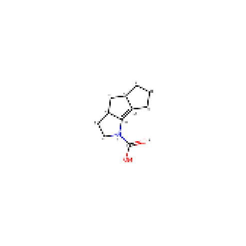 O=C(O)N1CCC2CC3CCCC3=C21